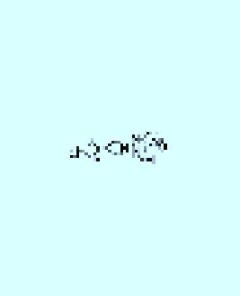 [2H]c1nc(N2CCC(c3ncc(Cl)cn3)CC2)nc2c1[S+]([O-])C(C)C2